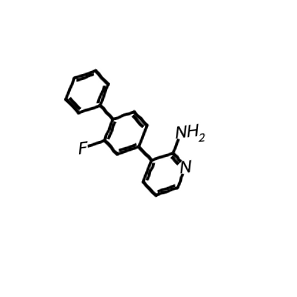 Nc1ncccc1-c1ccc(-c2ccccc2)c(F)c1